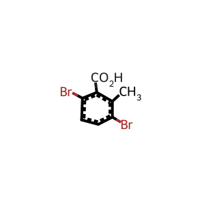 Cc1c(Br)ccc(Br)c1C(=O)O